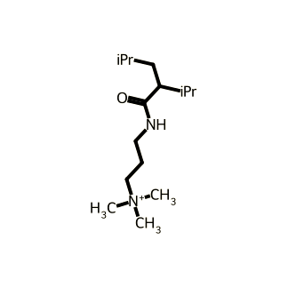 CC(C)CC(C(=O)NCCC[N+](C)(C)C)C(C)C